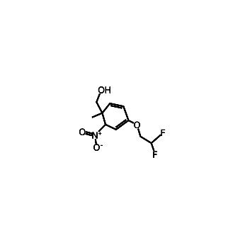 CC1(CO)C=CC(OCC(F)F)=CC1[N+](=O)[O-]